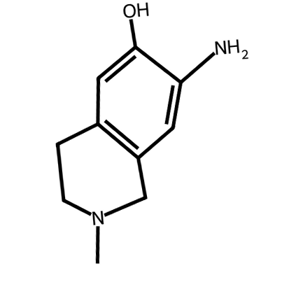 CN1CCc2cc(O)c(N)cc2C1